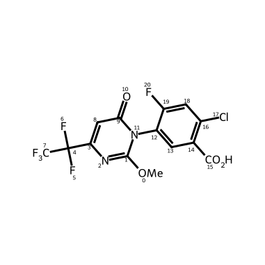 COc1nc(C(F)(F)C(F)(F)F)cc(=O)n1-c1cc(C(=O)O)c(Cl)cc1F